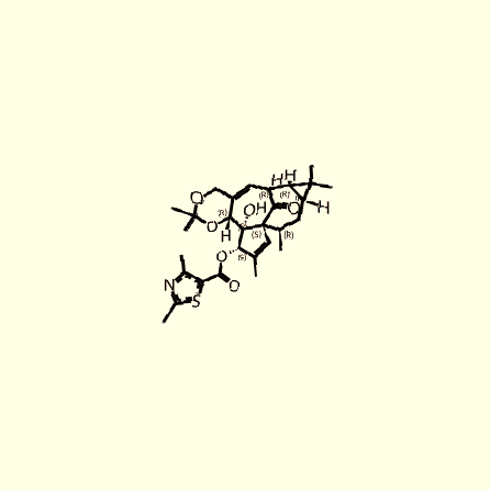 CC1=C[C@]23C(=O)[C@@H](C=C4COC(C)(C)O[C@H]4[C@]2(O)[C@H]1OC(=O)c1sc(C)nc1C)[C@H]1[C@@H](C[C@H]3C)C1(C)C